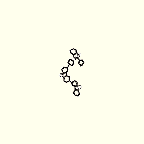 c1ccc(-c2nc3ccccc3n2-c2ccc(-c3ccc4oc5ccc(-c6ccc7oc8ccccc8c7c6)cc5c4c3)cc2)cc1